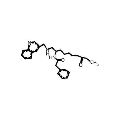 CCC(=O)CCCCCC(CNCc1cnc2ccccc2c1)NC(=O)Cc1ccccc1